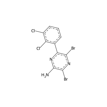 Nc1nc(-c2cccc(Cl)c2Cl)c(Br)nc1Br